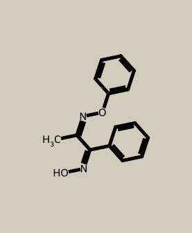 CC(=N/Oc1ccccc1)/C(=N\O)c1ccccc1